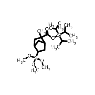 CO[Si](OC)(OC)C1CC2CC1CC2(C)C(=O)O[Si](C(C)C)(C(C)C)C(C)C